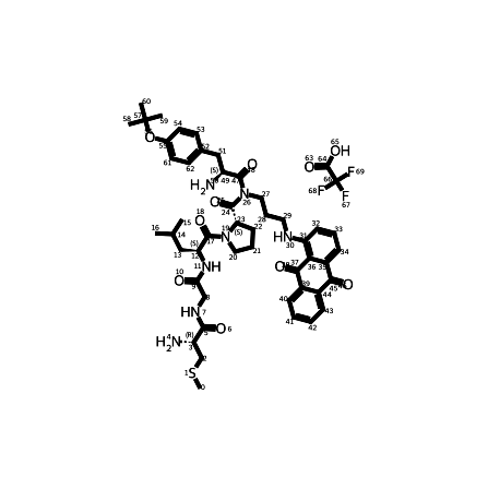 CSC[C@H](N)C(=O)NCC(=O)N[C@@H](CC(C)C)C(=O)N1CCC[C@H]1C(=O)N(CCCNc1cccc2c1C(=O)c1ccccc1C2=O)C(=O)[C@@H](N)Cc1ccc(OC(C)(C)C)cc1.O=C(O)C(F)(F)F